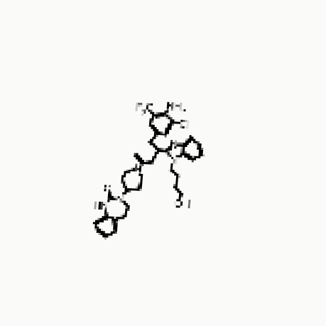 C=C(CC(Cc1cc(Cl)c(N)c(C(F)(F)F)c1)c1nc2ccccc2n1CCCCO)N1CCC(N2CCc3ccccc3NC2=O)CC1